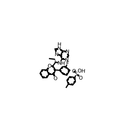 CC[C@H](Nc1ncnc2[nH]cnc12)c1oc2ccccc2c(=O)c1-c1cccc(F)c1.Cc1ccc(S(=O)(=O)O)cc1